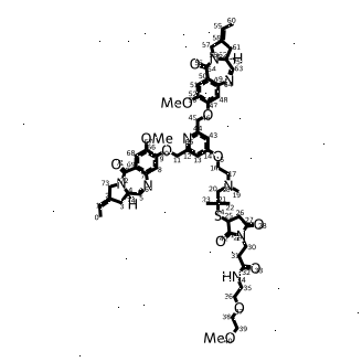 C/C=C1\C[C@H]2C=Nc3cc(OCc4cc(OCCN(C)CC(C)(C)SC5CC(=O)N(CCC(=O)NCCOCCOC)C5=O)cc(COc5cc6c(cc5OC)C(=O)N5C/C(=C/C)C[C@H]5C=N6)n4)c(OC)cc3C(=O)N2C1